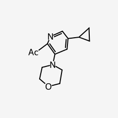 CC(=O)c1ncc(C2CC2)cc1N1CCOCC1